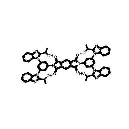 CC(O)c1nc2ccccc2n1-c1cc(-n2c(=O)c3cc4c(=O)n(-c5cc(-n6c(C(C)O)nc7ccccc76)cc(-n6c(C(C)O)nc7ccccc76)c5)c(=O)c4cc3c2=O)cc(-n2c(C(C)O)nc3ccccc32)c1